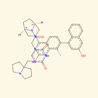 O=C(Cc1c[nH]c(=O)[nH]c1=O)N1[C@@H]2CC[C@H]1CN(c1nc(OCC34CCCN3CCC4)nc3c(F)c(-c4cc(O)cc5ccccc45)ccc13)C2